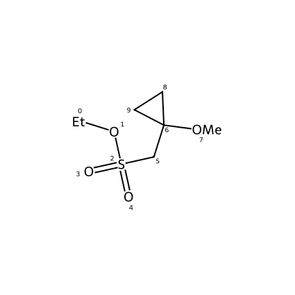 CCOS(=O)(=O)CC1(OC)CC1